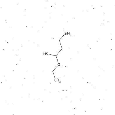 CCOC(S)CC[SiH3]